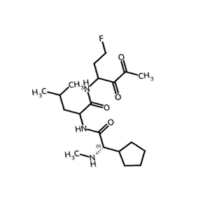 CN[C@H](C(=O)NC(CC(C)C)C(=O)NC(CCF)C(=O)C(C)=O)C1CCCC1